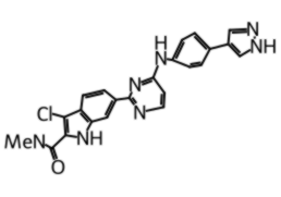 CNC(=O)c1[nH]c2cc(-c3nccc(Nc4ccc(-c5cn[nH]c5)cc4)n3)ccc2c1Cl